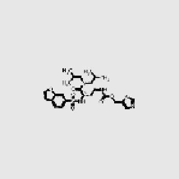 CC(C)CN(CC(C)C)C(=O)[C@H](CCNC(=O)OCc1cncs1)NS(=O)(=O)c1ccc2ccoc2c1